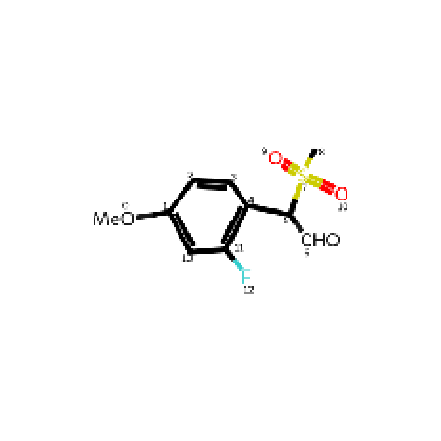 COc1ccc(C(C=O)S(C)(=O)=O)c(F)c1